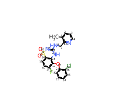 Cc1cccnc1CNC1=NS(=O)(=O)c2ccc(F)c(Oc3ccccc3Cl)c2N1